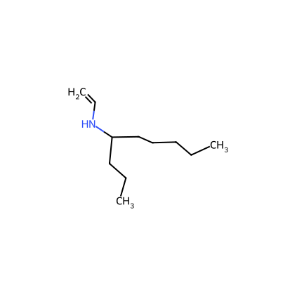 C=CNC(CCC)CCCCC